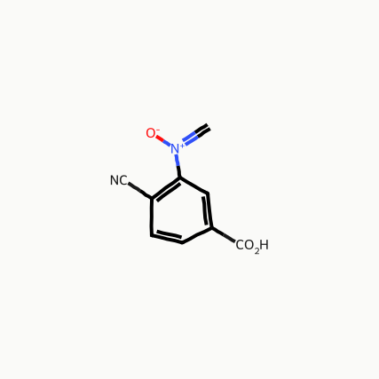 C=[N+]([O-])c1cc(C(=O)O)ccc1C#N